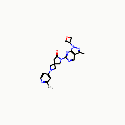 Cc1nn(C2COC2)c2nc(N3CC4(CC3=O)CN(c3ccnc(C(F)(F)F)c3)C4)ncc12